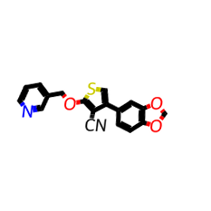 N#Cc1c(-c2ccc3c(c2)OCO3)csc1OCc1cccnc1